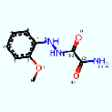 COc1ccccc1NNC(=O)C(N)=O